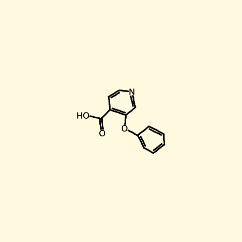 O=C(O)c1ccncc1Oc1ccccc1